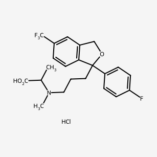 CC(C(=O)O)N(C)CCCC1(c2ccc(F)cc2)OCc2cc(C(F)(F)F)ccc21.Cl